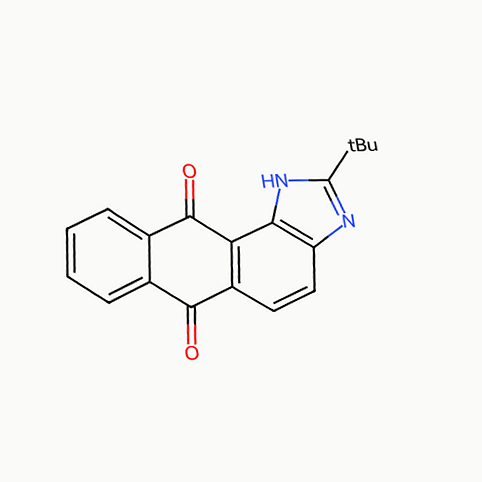 CC(C)(C)c1nc2ccc3c(c2[nH]1)C(=O)c1ccccc1C3=O